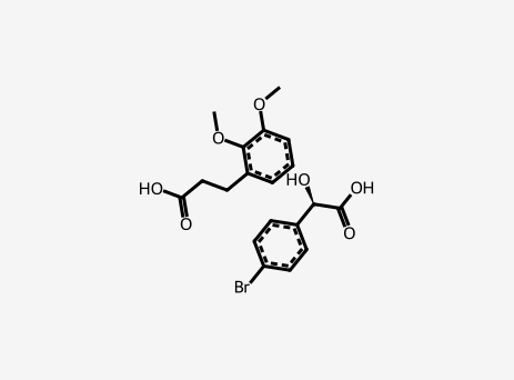 COc1cccc(CCC(=O)O)c1OC.O=C(O)[C@H](O)c1ccc(Br)cc1